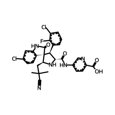 CC(C)(C#N)C[C@@H]1N[C@@H](C(=O)Nc2ccc(C(=O)O)nc2)[C@H](c2cccc(Cl)c2F)[C@]12C(=O)Nc1cc(Cl)ccc12